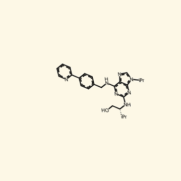 CC(C)[C@H](CO)Nc1nc(NCc2ccc(-c3ccccn3)cc2)c2ncn(C(C)C)c2n1